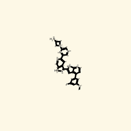 COc1cc(F)cc(-c2ccnc3[nH]c(-c4n[nH]c5cnc(-c6cncc(N7CC(N)C7)n6)cc45)cc23)c1